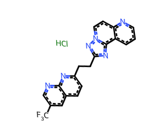 Cl.FC(F)(F)c1cnc2nc(CCc3nc4c5cccnc5ccn4n3)ccc2c1